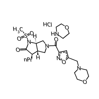 C1COCCN1.CCC[C@H]1C(=O)N(S(C)(=O)=O)[C@H]2CN(C(=O)c3cc(CN4CCOCC4)on3)C[C@H]12.Cl